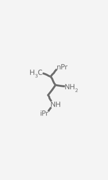 CCCC(C)C(N)CNC(C)C